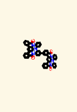 O=c1c2ccccc2c2cc3c4ccccc4c(=O)n4c3c3c2n1-c1ccccc1N3c1cc(-c2ccc3c(=O)n5c6c7c8c(cc6c3c2)c2ccccc2c(=O)n8-c2ccccc2N7c2ccccc2-5)ccc1-4